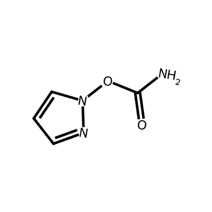 NC(=O)On1cccn1